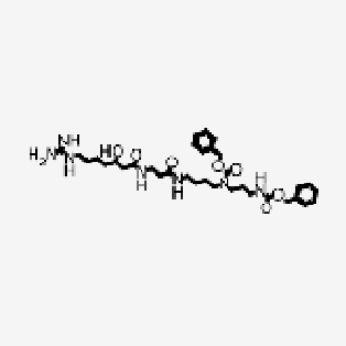 N=C(N)NCCCCC(O)CC(=O)NCCC(=O)NCCCCN(CCCNC(=O)OCc1ccccc1)C(=O)OCc1ccccc1